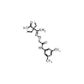 C/C(=N\OCC(=O)Nc1cc(C)cc(C)c1)C(CI)(CI)C(=O)O